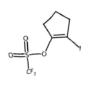 O=S(=O)(OC1=C(I)CCC1)C(F)(F)F